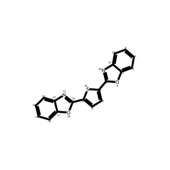 c1ccc2oc(-c3ccc(-c4nc5ccccc5o4)s3)nc2c1